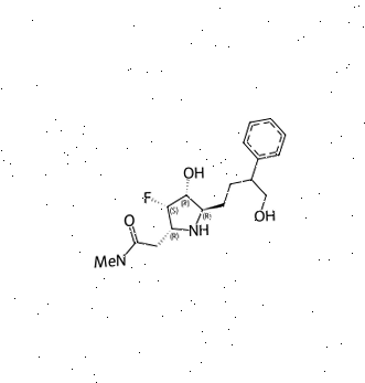 CNC(=O)C[C@H]1N[C@H](CCC(CO)c2ccccc2)[C@@H](O)[C@H]1F